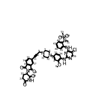 COc1cc(N2CCN(CC#Cc3ccc4c(c3)C(=O)N(C3CCC(=O)NC3=O)C4=O)CC2)ccc1Nc1ncc(Cl)c(Nc2ccccc2N(C)S(C)(=O)=O)n1